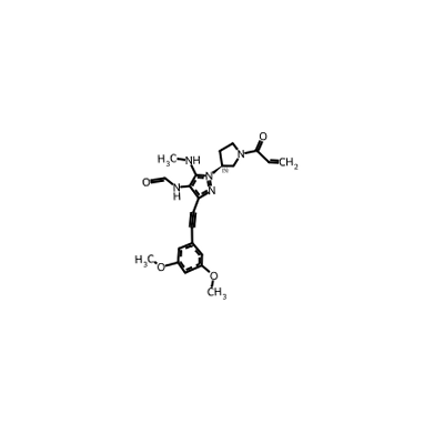 C=CC(=O)N1CC[C@H](n2nc(C#Cc3cc(OC)cc(OC)c3)c(NC=O)c2NC)C1